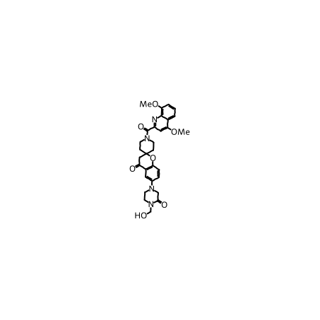 COc1cc(C(=O)N2CCC3(CC2)CC(=O)c2cc(N4CCN(CO)C(=O)C4)ccc2O3)nc2c(OC)cccc12